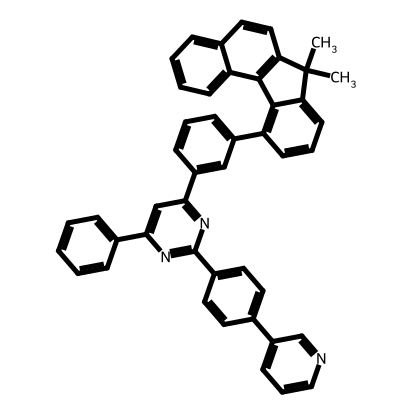 CC1(C)c2cccc(-c3cccc(-c4cc(-c5ccccc5)nc(-c5ccc(-c6cccnc6)cc5)n4)c3)c2-c2c1ccc1ccccc21